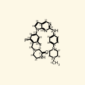 CN1CCN(c2ccc(Nc3ncc4ccn(-c5cc(F)c(CN6CCNC(=O)C6)c(F)c5)c4n3)cc2)CC1